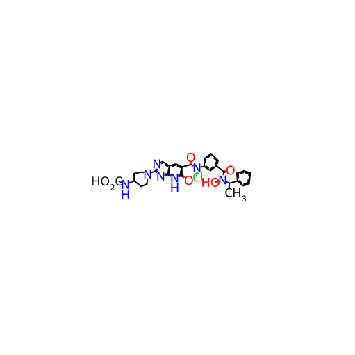 CC(c1ccccc1)N(O)C(=O)c1cccc(N(Cl)C(=O)c2cc3cnc(N4CCC(NC(=O)O)CC4)nc3[nH]c2=O)c1